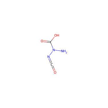 NN(N=C=O)C(=O)O